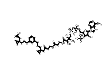 CC(C)(COP(=O)(O)OP(=O)(O)OCC1OC(n2cnc3c(N)ncnc32)C(O)C1OP(=O)(O)O)C(O)C(=O)NCCC(=O)NCCC(=O)CC1(CCCc2cccc(CCCC3(CC(=O)O)CC3)c2)CC1